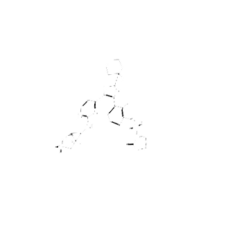 CC1(c2nc(-c3cccc(NS(=O)(=O)N4CCOC4=O)c3F)c(-c3ccnc(NC4[C@H]5CS(=O)(=O)C[C@@H]45)n3)s2)CCOCC1